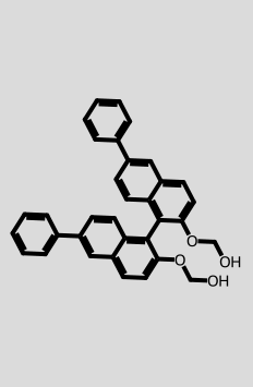 OCOc1ccc2cc(-c3ccccc3)ccc2c1-c1c(OCO)ccc2cc(-c3ccccc3)ccc12